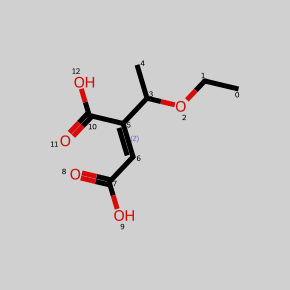 CCOC(C)/C(=C/C(=O)O)C(=O)O